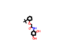 CC(C)(C)c1ccccc1OCC(=O)Nc1ccc(O)cc1O